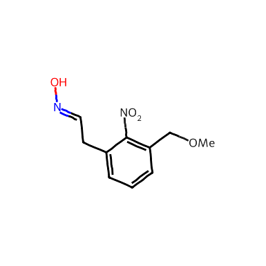 COCc1cccc(CC=NO)c1[N+](=O)[O-]